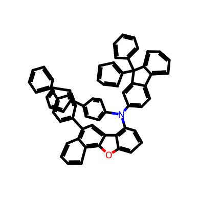 c1ccc(-c2ccc(-c3cc4c(oc5cccc(N(c6ccc(-c7ccccc7)cc6)c6ccc7c(c6)C(c6ccccc6)(c6ccccc6)c6ccccc6-7)c54)c4ccccc34)cc2)cc1